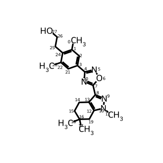 Cc1cc(-c2noc(-c3nn(C)c4c3CCC(C)(C)C4)n2)cc(C)c1CCO